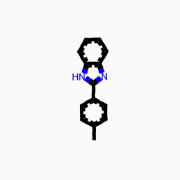 Cc1ccc(-c2nc3ccccc3[nH]2)cc1